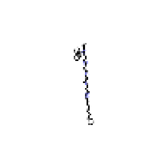 CC/C=C(/C/C=C/C/C=C/C/C=C/C/C=C/CCCCC[C]=O)[N+](=O)[O-]